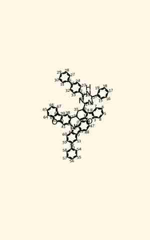 C1=c2oc3ccccc3c2=C(C2=NC(c3ccccc3)NC(c3ccc(-c4ccccc4)cc3)=N2)CC1c1cc2c(cc1-n1c3ccccc3c3cc(-c4ccccc4)ccc31)oc1ccccc12